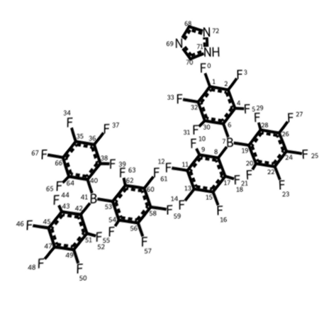 Fc1c(F)c(F)c(B(c2c(F)c(F)c(F)c(F)c2F)c2c(F)c(F)c(F)c(F)c2F)c(F)c1F.Fc1c(F)c(F)c(B(c2c(F)c(F)c(F)c(F)c2F)c2c(F)c(F)c(F)c(F)c2F)c(F)c1F.c1nc[nH]n1